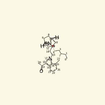 CCCCC[C@H]1C[C@H]2CC[C@@H](C1)N2CCCn1cc(C(C)=O)c2cccc(C)c21